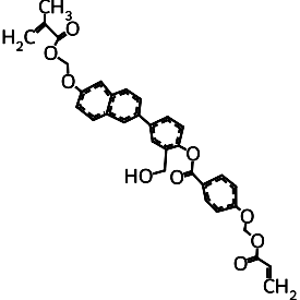 C=CC(=O)OCOc1ccc(C(=O)Oc2ccc(-c3ccc4cc(OCOC(=O)C(=C)C)ccc4c3)cc2CO)cc1